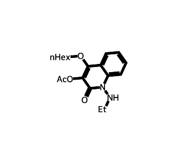 CCCCCCOc1c(OC(C)=O)c(=O)n(NCC)c2ccccc12